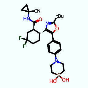 CC(C)(C)c1nc([C@@H]2CCC(F)(F)C[C@H]2C(=O)NC2(C#N)CC2)c(-c2ccc(N3CCS(O)(O)CC3)cc2)o1